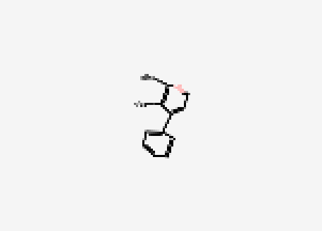 CCCCc1bccc(-c2ccccc2)c1CCCC